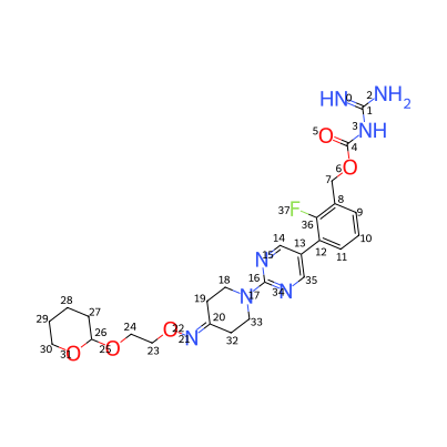 N=C(N)NC(=O)OCc1cccc(-c2cnc(N3CCC(=NOCCOC4CCCCO4)CC3)nc2)c1F